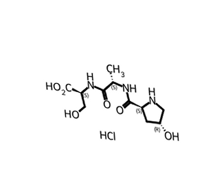 C[C@H](NC(=O)[C@@H]1C[C@@H](O)CN1)C(=O)N[C@@H](CO)C(=O)O.Cl